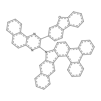 c1ccc2cc3c(cc2c1)c1c2c4ccccc4c4ccccc4c2ccc1n3-c1nc2ccc3ccccc3c2nc1-c1ccc2c(c1)oc1ccccc12